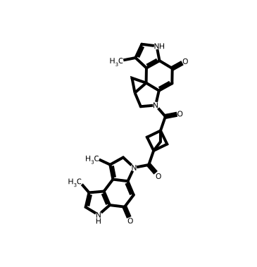 CC1=C2C(=CC(=O)c3[nH]cc(C)c32)N(C(=O)C23CC(C(=O)N4CC5CC56C4=CC(=O)c4[nH]cc(C)c46)(C2)C3)C1